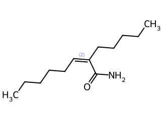 CCCCC/C=C(/CCCCC)C(N)=O